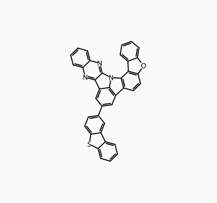 c1ccc2nc3c(nc2c1)c1cc(-c2ccc4sc5ccccc5c4c2)cc2c4ccc5oc6ccccc6c5c4n3c21